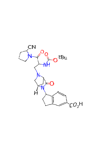 CC(C)(C)OC(=O)NC(CN1C[C@@H]2CC1C(=O)N2C1CCc2cc(C(=O)O)ccc21)C(=O)N1CCCC1C#N